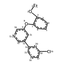 CCOc1ccccc1Oc1cncc(-c2cncc(Cl)n2)c1